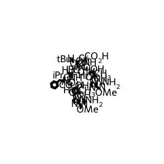 COc1nc(N)nc2c1ncn2[C@@H]1O[C@H](COP(=O)(N[C@@H](CC(C)C)C(=O)O)N[C@](Cc2ccccc2)(CC(C)C)C(=O)O)[C@@H](O)[C@@]1(C)O.COc1nc(N)nc2c1ncn2[C@@H]1O[C@H](COP(=O)(N[C@H](C)C(=O)O)N[C@H](C)C(=O)OCC(C)(C)C)[C@@H](O)[C@@]1(C)O